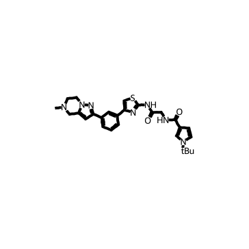 CN1CCn2nc(-c3cccc(-c4csc(NC(=O)CNC(=O)c5ccn(C(C)(C)C)c5)n4)c3)cc2C1